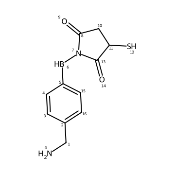 NCc1ccc(BN2C(=O)CC(S)C2=O)cc1